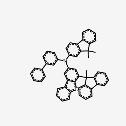 CC1(C)c2ccccc2-c2ccc(N(c3cccc(-c4ccccc4)c3)c3cc(C4(C)c5ccccc5-c5ccccc54)c4oc5ccccc5c4c3)cc21